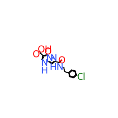 O=C(NCCc1ccc(Cl)cc1)c1cc2[nH]cc(C(=O)O)c(=O)n2n1